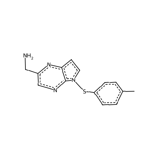 Cc1ccc(Sn2ccc3nc(CN)cnc32)cc1